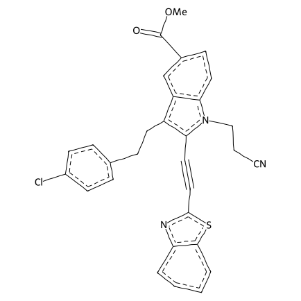 COC(=O)c1ccc2c(c1)c(CCc1ccc(Cl)cc1)c(C#Cc1nc3ccccc3s1)n2CCC#N